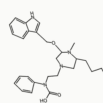 CCCCC1CN(CCN(C(=O)O)c2ccccc2)CC(OCc2c[nH]c3ccccc23)N1C